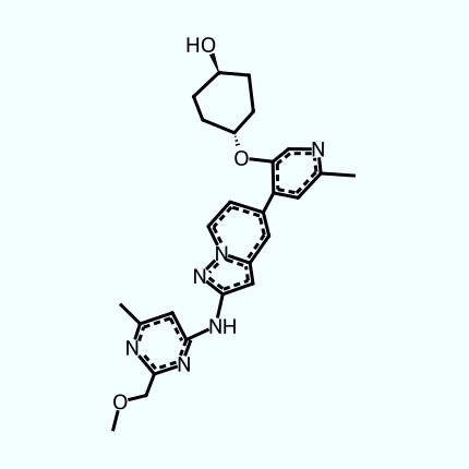 COCc1nc(C)cc(Nc2cc3cc(-c4cc(C)ncc4O[C@H]4CC[C@H](O)CC4)ccn3n2)n1